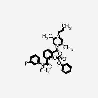 C=CCN1C[C@H](C)N([C@H](OP(=O)(O)Oc2ccccc2)c2cccc(C(=O)N(C)c3cccc(F)c3)c2)C[C@H]1C